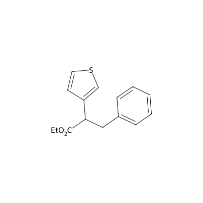 CCOC(=O)C(Cc1ccccc1)c1ccsc1